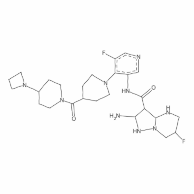 NC1NN2CC(F)CNC2C1C(=O)Nc1cncc(F)c1N1CCC(C(=O)N2CCC(N3CCC3)CC2)CC1